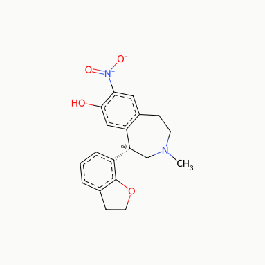 CN1CCc2cc([N+](=O)[O-])c(O)cc2[C@@H](c2cccc3c2OCC3)C1